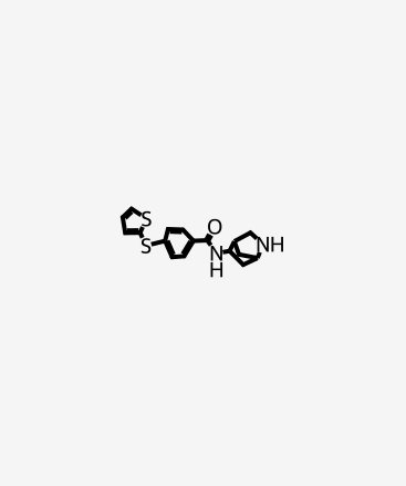 O=C(NC1CC2CC1CN2)c1ccc(Sc2cccs2)cc1